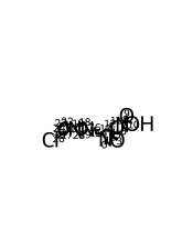 CN1C(=O)C2(CCN(C(=O)O)CC2)CC1CCN1CCN(c2cccc(Cl)c2)CC1